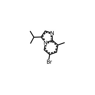 Cc1cc(Br)cn2c(C(C)C)cnc12